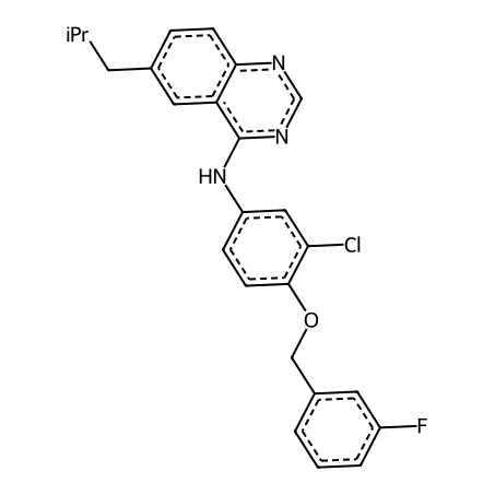 CC(C)Cc1ccc2ncnc(Nc3ccc(OCc4cccc(F)c4)c(Cl)c3)c2c1